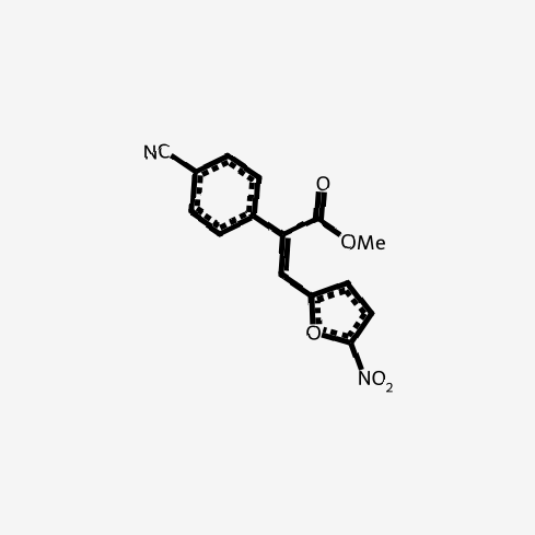 COC(=O)C(=Cc1ccc([N+](=O)[O-])o1)c1ccc(C#N)cc1